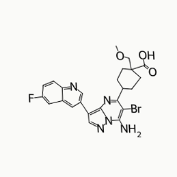 COCC1(C(=O)O)CCC(c2nc3c(-c4cnc5ccc(F)cc5c4)cnn3c(N)c2Br)CC1